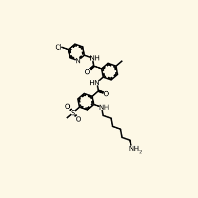 Cc1ccc(NC(=O)c2ccc(S(C)(=O)=O)cc2NCCCCCCN)c(C(=O)Nc2ccc(Cl)cn2)c1